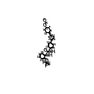 O=COC1CCC(c2ncc(-c3ccc(NC(=O)Nc4ccccc4OC(F)(F)F)cc3)s2)CC1